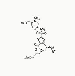 CCN[C@H]1CN(CCCOC)S(=O)(=O)c2sc(S(=O)(=O)NC(=O)CN(C)C(=O)COC(C)=O)cc21